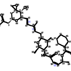 COC(=O)C[C@@H]1C[C@@]2(CO2)[C@H](O)[C@@H](/C=C/C(C)=C/C[C@@H]2O[C@H](C)[C@H](NC(=O)/C=C\[C@H](C)OC(=O)N3CCCCC3)C[C@@H]2C)O1